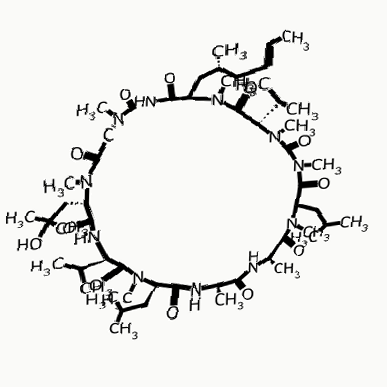 C/C=C/C[C@@H](C)CC1C(=O)NC(=O)N(C)CC(=O)N(C)[C@@H](CC(C)(C)O)C(=O)N[C@H](C(C)C)C(=O)N(C)[C@H](CC(C)C)C(=O)N[C@H](C)C(=O)N[C@H](C)C(=O)N(C)C(CC(C)C)C(=O)N(C)C(=O)N(C)[C@@H](C(C)C)C(=O)N1C